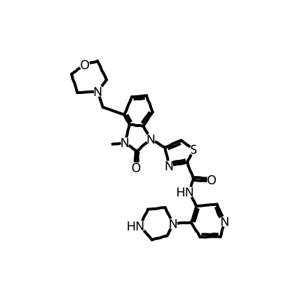 Cn1c(=O)n(-c2csc(C(=O)Nc3cnccc3N3CCNCC3)n2)c2cccc(CN3CCOCC3)c21